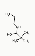 CCCNC(O)C(C)(C)C